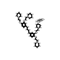 Cl.Cl.Cl.Cl.c1cc(OCCN2CCCCC2)c(OCCN2CCCCC2)cc1CCCCc1ccc(OCCN2CCCCC2)c(OCCN2CCCCC2)c1